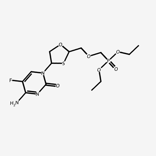 CCOP(=O)(COCC1OCC(n2cc(F)c(N)nc2=O)S1)OCC